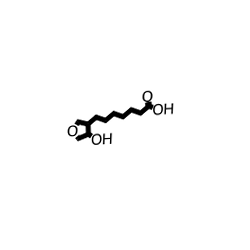 O=C(O)CCCCCCC1COCC1O